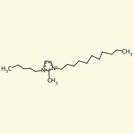 CCCCCCCCCCC[n+]1ccn(CCCCC)c1C